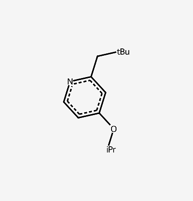 CC(C)Oc1ccnc(CC(C)(C)C)c1